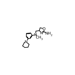 CN(CC1COC(N)=N1)c1cccc(N2CCCCC2)c1